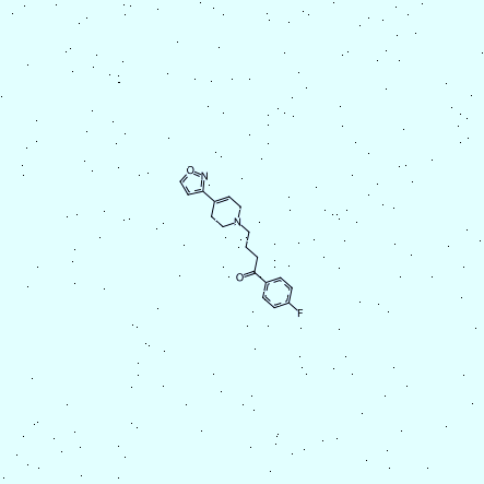 O=C(CCCN1CC=C(c2ccon2)CC1)c1ccc(F)cc1